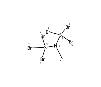 CN(S(Br)(Br)Br)S(Br)(Br)Br